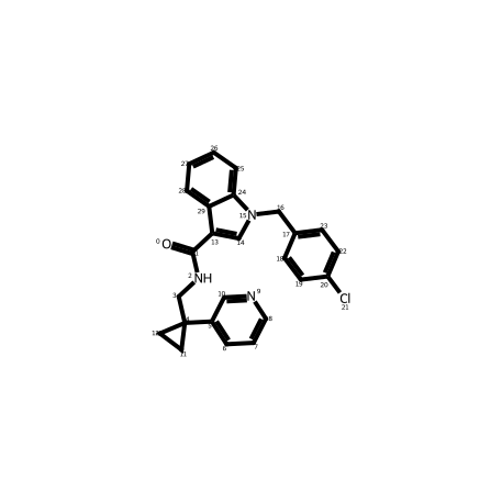 O=C(NCC1(c2cccnc2)CC1)c1cn(Cc2ccc(Cl)cc2)c2ccccc12